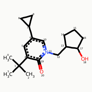 CC(C)(C)c1cc(C2CC2)cn(CC2CCCC2O)c1=O